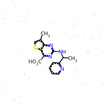 Cc1csc2c(C(=O)O)nc(NC(C)c3ccccn3)nc12